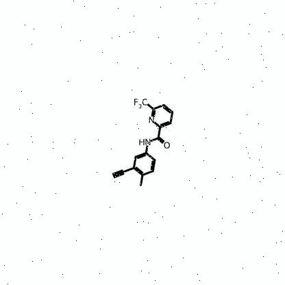 C#Cc1cc(NC(=O)c2cccc(C(F)(F)F)n2)ccc1C